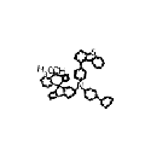 CC1(C)c2ccccc2C2(c3ccccc3-c3ccc(N(c4ccc(-c5ccccc5)cc4)c4ccc(-c5cccc6sc7ccccc7c56)cc4)cc32)c2ccccc21